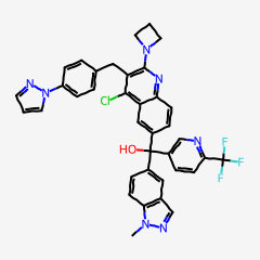 Cn1ncc2cc(C(O)(c3ccc(C(F)(F)F)nc3)c3ccc4nc(N5CCC5)c(Cc5ccc(-n6cccn6)cc5)c(Cl)c4c3)ccc21